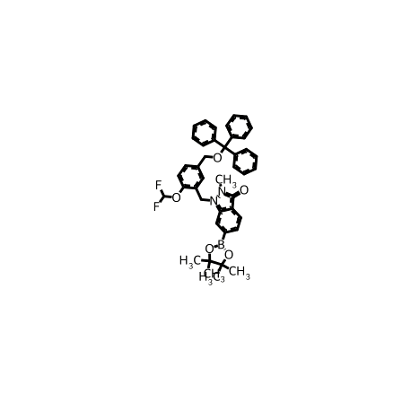 Cn1c(=O)c2ccc(B3OC(C)(C)C(C)(C)O3)cc2n1Cc1cc(COC(c2ccccc2)(c2ccccc2)c2ccccc2)ccc1OC(F)F